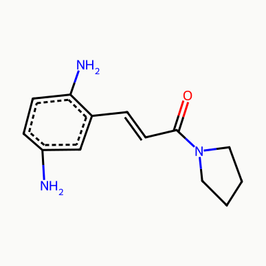 Nc1ccc(N)c(C=CC(=O)N2CCCC2)c1